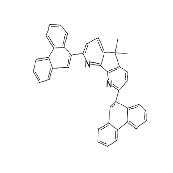 CC1(C)c2ccc(-c3cc4ccccc4c4ccccc34)nc2-c2nc(-c3cc4ccccc4c4ccccc34)ccc21